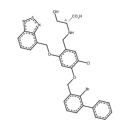 O=C(O)[C@@H](CO)NCc1cc(Cl)c(OCc2cccc(-c3ccccc3)c2Br)cc1OCc1cccc2nsnc12